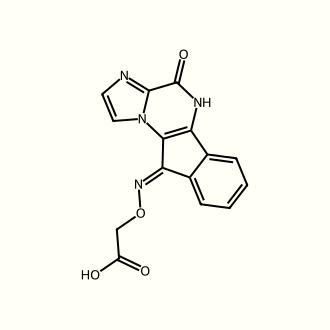 O=C(O)CON=C1c2ccccc2-c2[nH]c(=O)c3nccn3c21